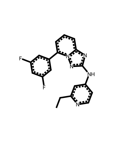 CCc1cc(Nc2nc3cccc(-c4cc(F)cc(F)c4)n3n2)ccn1